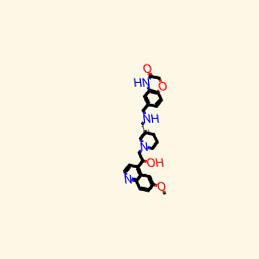 COc1ccc2nccc(C(O)CN3CCC[C@@H](CNCc4ccc5c(c4)NC(=O)CO5)C3)c2c1